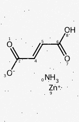 N.O=C([O-])C=CC(=O)O.[Zn+]